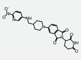 O=C1CCC(N2C(=O)c3ccc(N4CCC(CNc5ccc([N+](=O)[O-])nc5)CC4)cc3C2=O)C(=O)N1